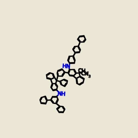 CC1(C)c2ccccc2-c2cc(-c3cccc(C4(c5ccccc5)c5ccccc5-c5ccc(Nc6cc(-c7ccccc7)cc(-c7ccccc7)c6)cc54)c3)c(Nc3ccc(-c4ccc(-c5ccccc5)cc4)cc3)cc21